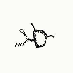 Cc1cc(F)ccc1S(=O)O